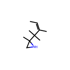 C/C=C(/C)C(C)(C)C1(C)CN1